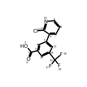 O=C(O)c1cc(-c2cccnc2Cl)cc(C(F)(F)F)c1